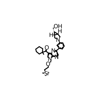 CC1(C(=O)c2cn(COCC[Si](C)(C)C)c3ncc(-c4cccc(N5C[C@@H]6[C@H](CO)[C@@H]6C5)c4)nc23)CCCCC1